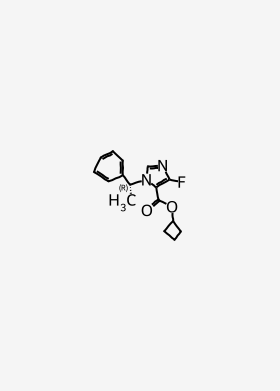 C[C@H](c1ccccc1)n1cnc(F)c1C(=O)OC1CCC1